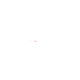 CC(=O)O[C@@H]1CCO[C@H](CS)[C@H]1O